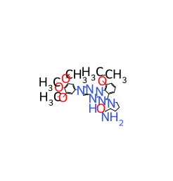 COc1cc(-n2cnc(Nc3nc(N4CCCC4C(N)=O)c4cccc(OC(C)C)c4n3)c2)cc(OC)c1OC